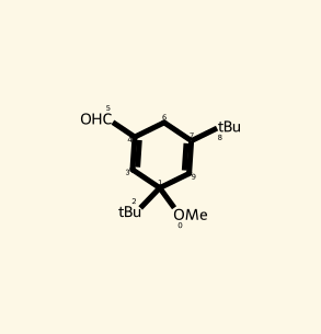 COC1(C(C)(C)C)C=C(C=O)CC(C(C)(C)C)=C1